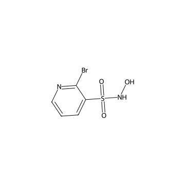 O=S(=O)(NO)c1cccnc1Br